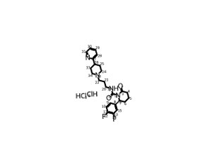 Cl.Cl.O=C1CCC[C@@H](c2ccc(F)c(F)c2)N1C(=O)NCCCN1CCC(c2ccccn2)CC1